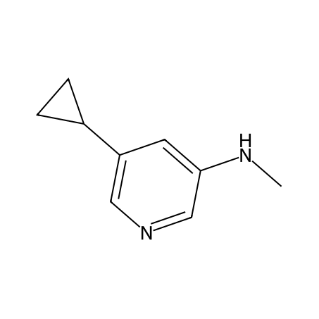 CNc1cncc(C2CC2)c1